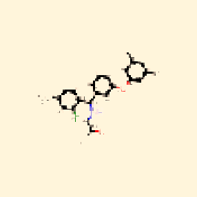 Cc1cc(C)cc(Oc2cccc(C(NCC(O)C(F)(F)F)c3ccc(C(F)(F)F)cc3F)c2)c1